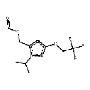 CC(C)n1nc(OCC(F)(F)F)cc1COC=O